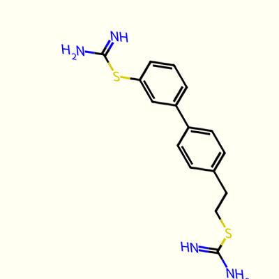 N=C(N)SCCc1ccc(-c2cccc(SC(=N)N)c2)cc1